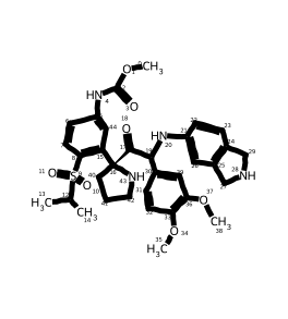 COC(=O)Nc1ccc(S(=O)(=O)C(C)C)c([C@@]2(C(=O)C(Nc3ccc4c(c3)CNC4)c3ccc(OC)c(OC)c3)CCCN2)c1